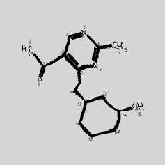 CC(=O)c1cnc(C)nc1C[C@@H]1CCC[C@H](O)C1